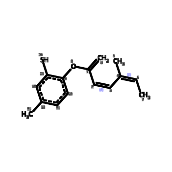 C=C(/C=C\C(C)=C/C)Oc1ccc(C)cc1S